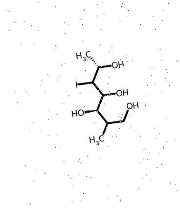 CC(CO)[C@@H](O)C(O)C(I)[C@H](C)O